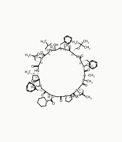 CC(C)C[C@@H]1NC(O)[C@H](Cc2ccccc2)N(C)C(=O)[C@H](COC(C)(C)C)NC(=O)[C@H](Cc2ccccc2)N(C)C(=O)[C@H](C)N(C)C(=O)[C@H](CC(C)C)N(C)C(=O)[C@@H]2CCCN2C(=O)C[C@@H](C(=O)N2CCCCC2)NC(=O)[C@H](Cc2ccccc2)N(C)C(=O)[C@H]([C@@H](C)O)NC(=O)[C@H](CC(C)C)N(C)C1=O